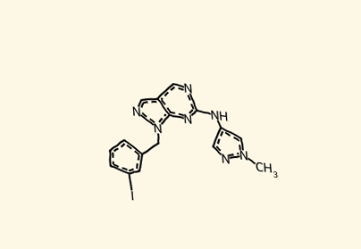 Cn1cc(Nc2ncc3cnn(Cc4cccc(I)c4)c3n2)cn1